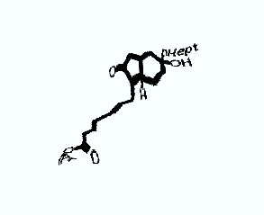 CCCCCCC[C@@]1(O)CC[C@H]2C(CC(=O)C2CC=CCCCC(=O)OC(C)C)C1